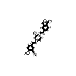 COc1ccc(CCN2CCN(CCc3ccc4c(c3)COC4=O)C(=O)C2)cc1C#N